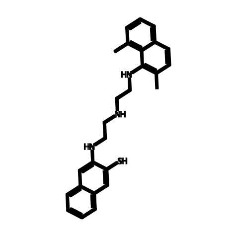 Cc1ccc2cccc(C)c2c1NCCNCCNc1cc2ccccc2cc1S